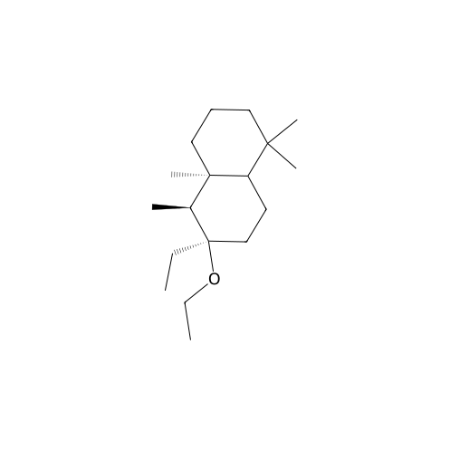 CCO[C@]1(CC)CCC2C(C)(C)CCC[C@]2(C)[C@@H]1C